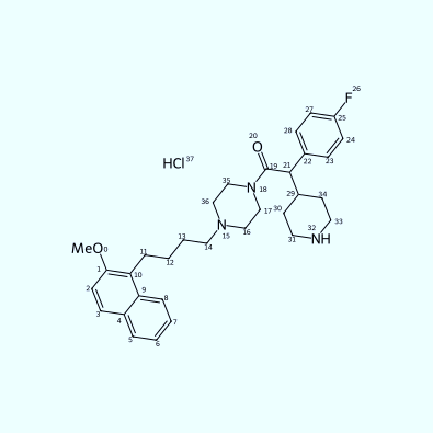 COc1ccc2ccccc2c1CCCCN1CCN(C(=O)C(c2ccc(F)cc2)C2CCNCC2)CC1.Cl